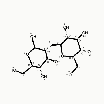 OC[C@H]1O[C@@H](S[C@H]2C(O)O[C@H](CO)[C@@H](O)[C@@H]2O)[C@H](O)[C@@H](O)[C@@H]1O